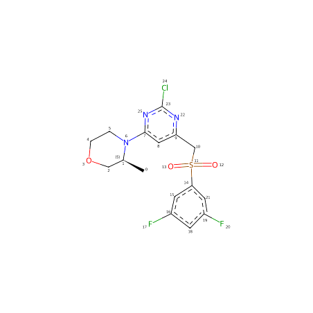 C[C@H]1COCCN1c1cc(CS(=O)(=O)c2cc(F)cc(F)c2)nc(Cl)n1